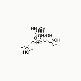 N=C(CCOCC(OCCC(=N)NO)C(O)C(O)C(CO)OCCC(=N)NO)NO